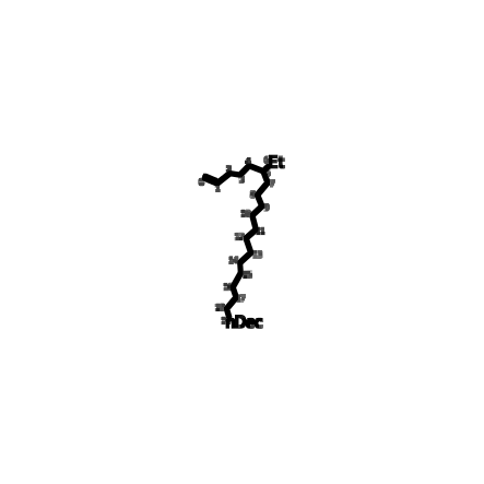 C=CCCCC(CC)CCCCCCCCCCCCCCCCCCCCCC